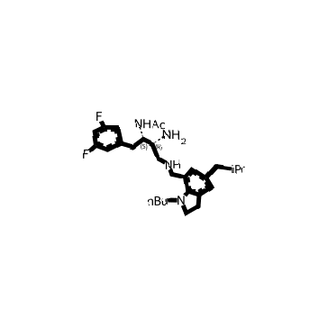 CCCCN1CCc2cc(CC(C)C)cc(CNC[C@@H](N)[C@H](Cc3cc(F)cc(F)c3)NC(C)=O)c21